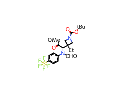 CCC1([C@@H](C(=O)OC)N(C=O)c2ccc(S(F)(F)(F)(F)F)cc2)CN(C(=O)OC(C)(C)C)C1